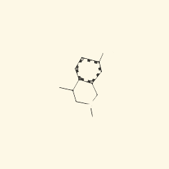 CCN1Cc2cc(C(F)(F)F)ccc2C(F)C1